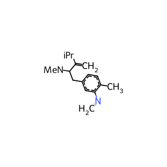 C=Nc1cc(CC(NC)C(=C)C(C)C)ccc1C